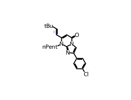 CCCCCn1c(/C=C/C(C)(C)C)cc(=O)n2cc(-c3ccc(Cl)cc3)nc12